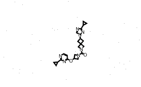 O=C(N1CC(Oc2ccnc(C3CC3)n2)C1)N1CC2(CC(n3cnc(C4CC4)n3)C2)C1